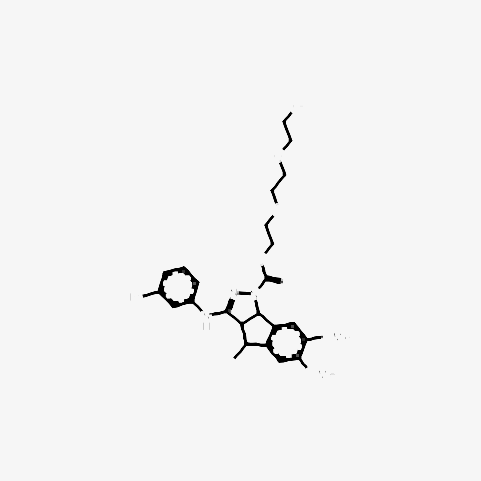 COc1cc2c(cc1OC)C1C(C(Nc3cccc(Br)c3)=NN1C(=O)OCCOCCOCCO)C2C